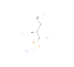 C=CC[C@H](C)[C@H](C(C)C)S(N)(=O)=O